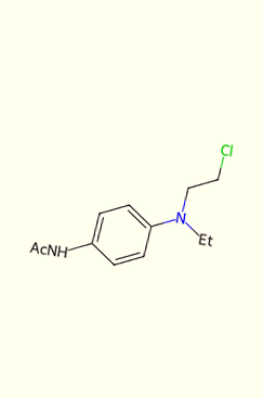 CCN(CCCl)c1ccc(NC(C)=O)cc1